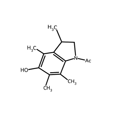 CC(=O)N1CC(C)c2c(C)c(O)c(C)c(C)c21